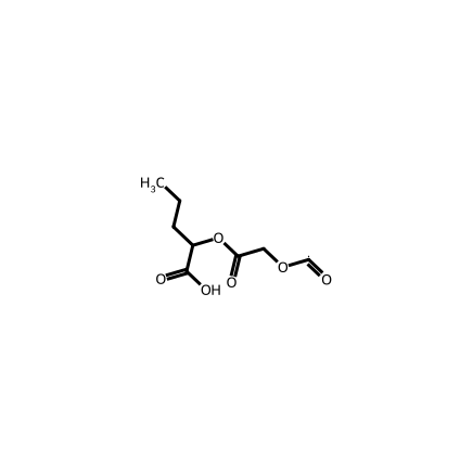 CCCC(OC(=O)CO[C]=O)C(=O)O